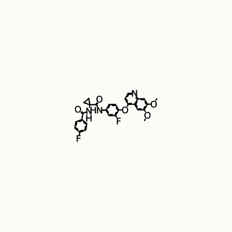 COc1cc2nccc(Oc3ccc(NC(=O)C4(NC(=O)c5ccc(F)cc5)CC4)cc3F)c2cc1OC